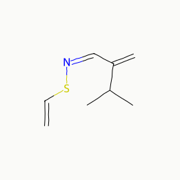 C=CS/N=C\C(=C)C(C)C